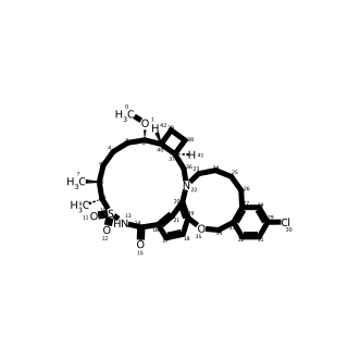 CO[C@H]1CCC[C@H](C)[C@@H](C)S(=O)(=O)NC(=O)c2ccc3c(c2)N(CCCCc2cc(Cl)ccc2CO3)C[C@@H]2CC[C@H]21